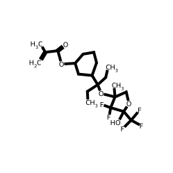 C=C(C)C(=O)OC1CCCC(C(CC)(CC)OC2(C)COC(O)(C(F)(F)F)C2(F)F)C1